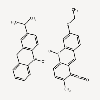 CC(C)c1ccc2c(c1)Cc1ccccc1[S+]2[O-].CCOc1ccc2c(c1)[S+]([O-])c1ccc(C)c(=C=O)c1=C2